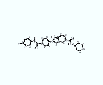 Cc1ccc(NC(=O)c2ccc(-c3nc4cc(C(=O)NC5CCCCC5)ccc4[nH]3)cc2)nc1